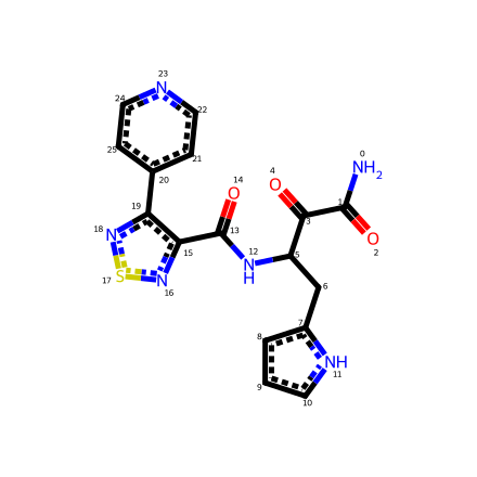 NC(=O)C(=O)C(Cc1ccc[nH]1)NC(=O)c1nsnc1-c1ccncc1